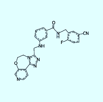 N#Cc1ccc(F)c(CNC(=O)c2cccc(NCc3nnc4n3CCOc3cnccc3-4)c2)c1